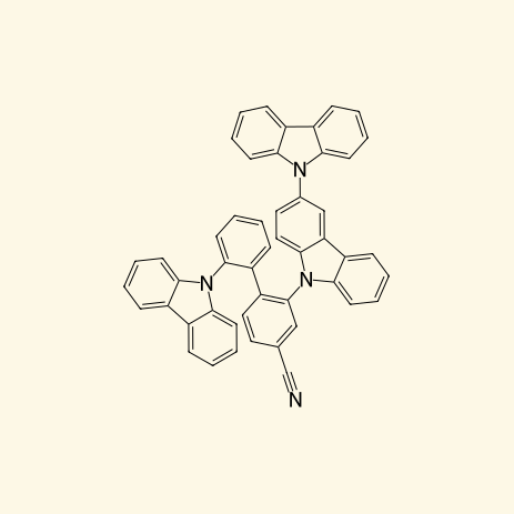 N#Cc1ccc(-c2ccccc2-n2c3ccccc3c3ccccc32)c(-n2c3ccccc3c3cc(-n4c5ccccc5c5ccccc54)ccc32)c1